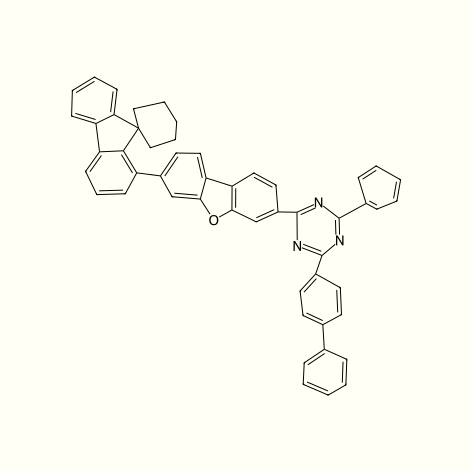 c1ccc(-c2ccc(-c3nc(-c4ccccc4)nc(-c4ccc5c(c4)oc4cc(-c6cccc7c6C6(CCCCC6)c6ccccc6-7)ccc45)n3)cc2)cc1